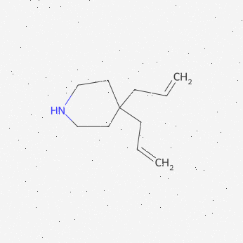 C=CCC1(CC=C)CCNCC1